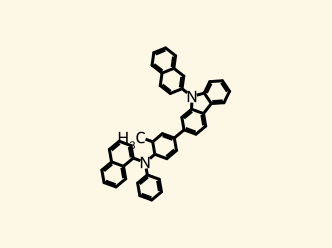 CC1C=C(c2ccc3c4ccccc4n(-c4ccc5ccccc5c4)c3c2)C=CC1N(c1ccccc1)c1cccc2ccccc12